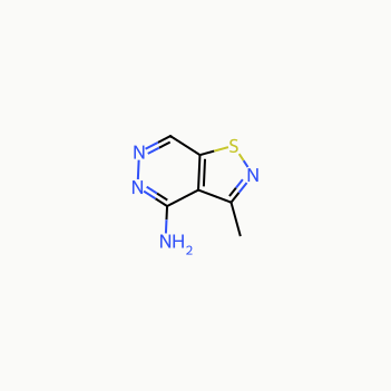 Cc1nsc2cnnc(N)c12